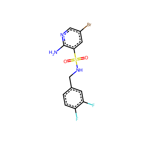 Nc1ncc(Br)cc1S(=O)(=O)NCc1ccc(F)c(F)c1